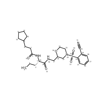 CCC[C@H](NC(=O)CCC1CCCC1)C(=O)NCC1CN(S(=O)(=O)c2ccccc2C#N)CCO1